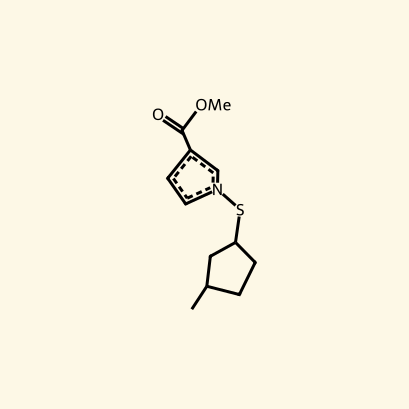 COC(=O)c1ccn(SC2CCC(C)C2)c1